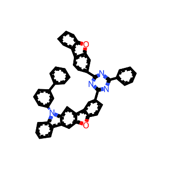 c1ccc(-c2cccc(-n3c4ccccc4c4cc5oc6ccc(-c7nc(-c8ccccc8)nc(-c8ccc9c(c8)oc8ccccc89)n7)cc6c5cc43)c2)cc1